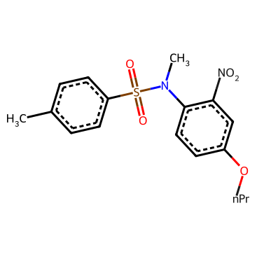 CCCOc1ccc(N(C)S(=O)(=O)c2ccc(C)cc2)c([N+](=O)[O-])c1